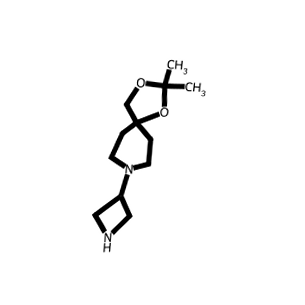 CC1(C)OCC2(CCN(C3CNC3)CC2)O1